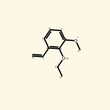 C=Cc1cccc(OC)c1OCC